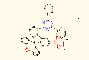 CC1(C)OB(c2ccc3c(c2)-c2c(-c4nc(-c5ccccc5)nc(-c5ccccc5)n4)cccc2C32c3ccccc3Oc3ccccc32)OC1(C)C